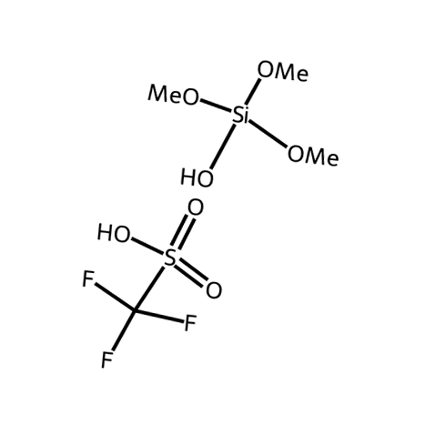 CO[Si](O)(OC)OC.O=S(=O)(O)C(F)(F)F